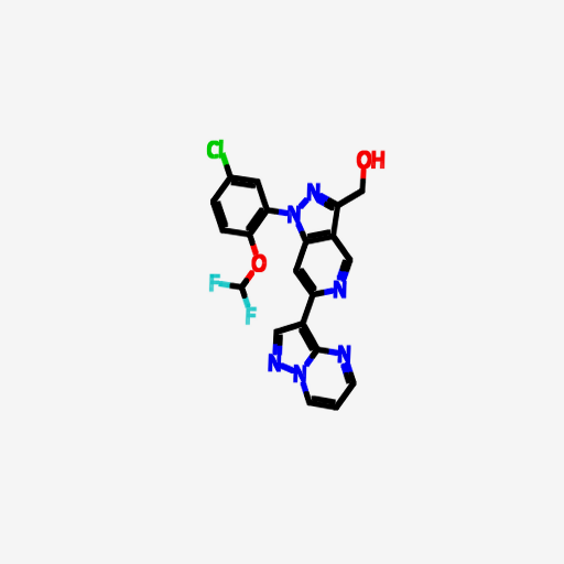 OCc1nn(-c2cc(Cl)ccc2OC(F)F)c2cc(-c3cnn4cccnc34)ncc12